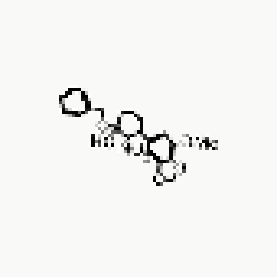 COc1cc(C2CCCC(O)(OCc3ccccc3)C2[N+](=O)[O-])cc2c1OCO2